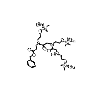 CC(C)(C)[Si](C)(C)OCCNCC(=O)N(CCO[Si](C)(C)C(C)(C)C)CC(=O)N(CCO[Si](C)(C)C(C)(C)C)CCC(=O)OCc1ccccc1